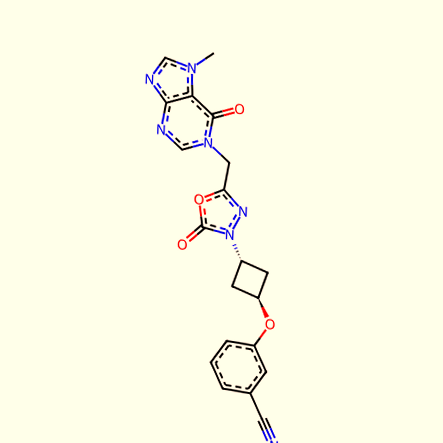 Cn1cnc2ncn(Cc3nn([C@H]4C[C@H](Oc5cccc(C#N)c5)C4)c(=O)o3)c(=O)c21